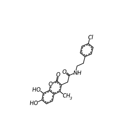 Cc1c(CC(=O)NCCc2ccc(Cl)cc2)c(=O)oc2c(O)c(O)ccc12